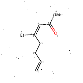 C=CCCC(=CC(=O)OC)CC